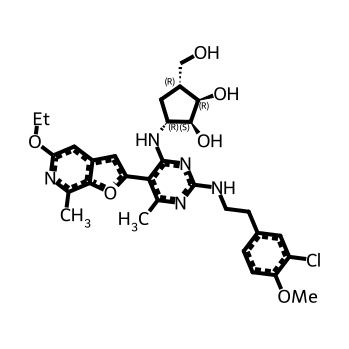 CCOc1cc2cc(-c3c(C)nc(NCCc4ccc(OC)c(Cl)c4)nc3N[C@@H]3C[C@H](CO)[C@@H](O)[C@H]3O)oc2c(C)n1